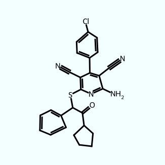 N#Cc1c(N)nc(SC(C(=O)C2CCCC2)c2ccccc2)c(C#N)c1-c1ccc(Cl)cc1